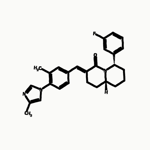 Cc1cn(-c2ccc(/C=C3\CC[C@H]4CCC[C@@H](c5cccc(F)c5)N4C3=O)cc2C)cn1